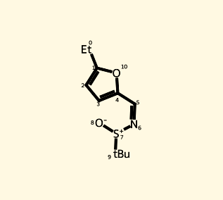 CCc1ccc(/C=N\[S+]([O-])C(C)(C)C)o1